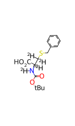 [2H]N(C(=O)OC(C)(C)C)[C@@]([2H])(C(=O)O)C([2H])([2H])SCc1ccccc1